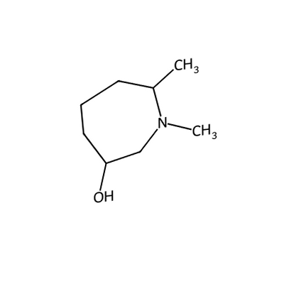 CC1CCCC(O)CN1C